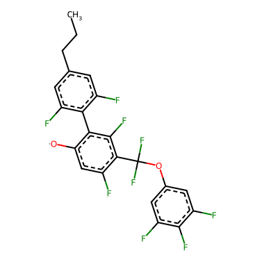 CCCc1cc(F)c(-c2c([O])cc(F)c(C(F)(F)Oc3cc(F)c(F)c(F)c3)c2F)c(F)c1